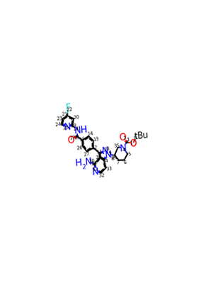 CC(C)(C)OC(=O)N1CCC[C@@H](n2nc(-c3ccc(C(=O)Nc4cc(F)ccn4)cc3)c3c(N)nccc32)C1